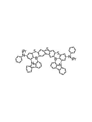 CC(C)N(c1ccccc1)c1cc2c3c(c1)-n1c4ccccc4c4cccc(c41)B3c1cc3c(cc1S2)sc1cc2c(cc13)B1c3c(cc(N(c4ccccc4)C(C)C)cc3-n3c4ccccc4c4cccc1c43)S2